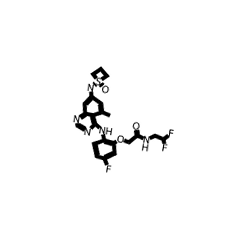 Cc1cc(N=S2(=O)CCC2)cc2ncnc(Nc3ccc(F)cc3OCC(=O)NCC(F)F)c12